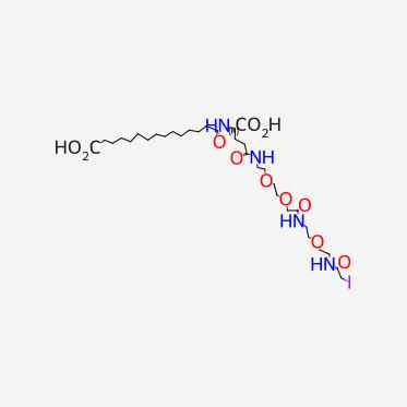 O=C(O)CCCCCCCCCCCCCC(=O)N[C@H](CCC(=O)NCCOCCOCC(=O)NCCOCCNC(=O)CI)C(=O)O